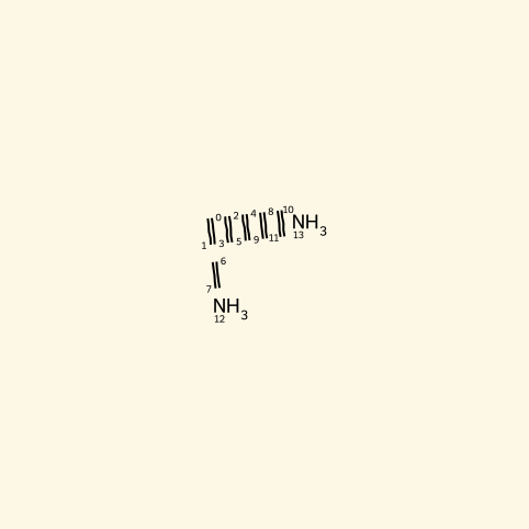 C=C.C=C.C=C.C=C.C=C.C=C.N.N